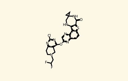 O=C1NC2(CC2)CNc2c1sc1ccc3nc(Oc4nc(Cl)nc5c4CN(CC(F)F)CC5)cnc3c21